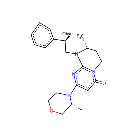 CO[C@@H](CN1c2nc(N3CCOC[C@H]3C)cc(=O)n2CC[C@H]1C(F)(F)F)c1ccccc1